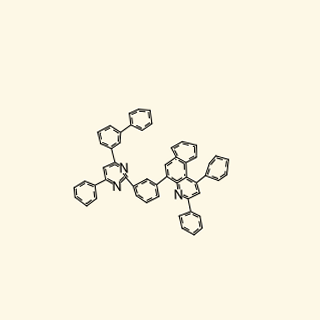 c1ccc(-c2cccc(-c3cc(-c4ccccc4)nc(-c4cccc(-c5cc6ccccc6c6c(-c7ccccc7)cc(-c7ccccc7)nc56)c4)n3)c2)cc1